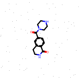 O=C1NCCc2cc(C(=O)N3CCNCC3)ccc21